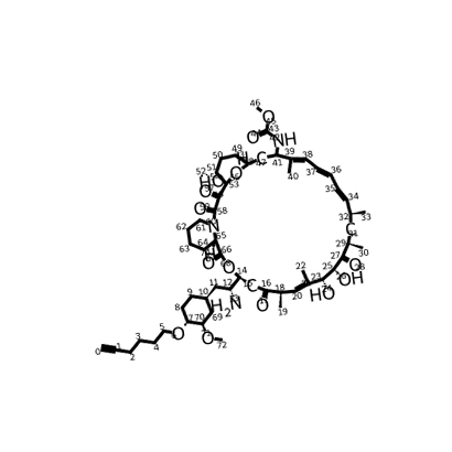 C#CCCCCO[C@@H]1CC[C@@H](C[C@@H](N)[C@@H]2CC(=O)[C@H](C)/C=C(\C)[C@@H](O)[C@@H](O)C(=O)[C@H](C)C[C@H](C)/C=C/C=C/C=C(\C)C(NC(=O)OC)C[C@@H]3CC[C@@H](C)[C@@](O)(O3)C(=O)C(=O)N3CCCC[C@H]3C(=O)O2)C[C@H]1OC